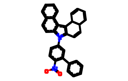 O=[N+]([O-])c1ccc(-n2c3c(c4c5ccccc5ccc42)C2C=CC=CC2C=C3)cc1-c1ccccc1